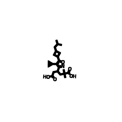 CC(C)CC1CC(c2onc(C(CC(=O)O)CC(C)(C)C(=O)O)c2C2CC2)C1